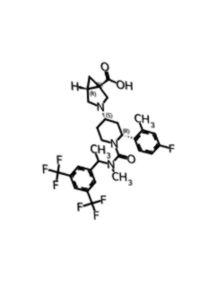 Cc1cc(F)ccc1[C@H]1C[C@@H](N2C[C@@H]3C[C@]3(C(=O)O)C2)CCN1C(=O)N(C)C(C)c1cc(C(F)(F)F)cc(C(F)(F)F)c1